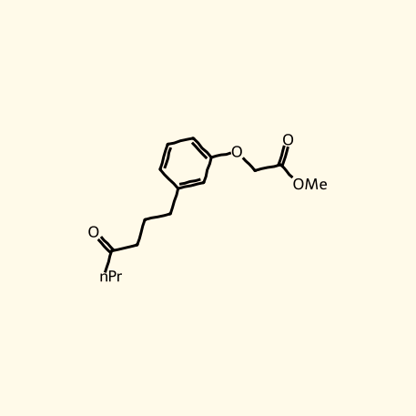 CCCC(=O)CCCc1cccc(OCC(=O)OC)c1